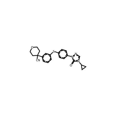 N#CC1(c2cccc(Sc3ccc(-n4ncn(C5CC5)c4=O)cc3)c2)CCOCC1